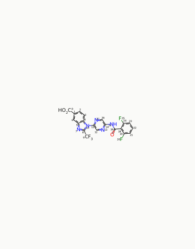 O=C(O)c1ccc2c(c1)nc(C(F)(F)F)n2-c1cnc(NC(=O)c2c(F)cccc2F)cn1